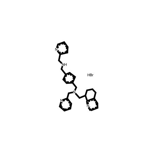 Br.c1ccc(CNCc2ccc(CN(Cc3ccccn3)CC3CCCc4cccnc43)cc2)nc1